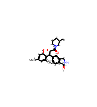 COC1=C[C@@H](O)C(C(CC(=O)N2CCCC(C)C2)c2ccc3c(c2)CNC3=O)C(OC)=C1